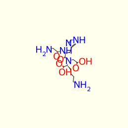 NCCCC[C@@H](C(=O)O)N(CC(=O)O)C(=O)[C@H](Cc1c[nH]cn1)NC(=O)CN